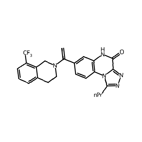 C=C(c1ccc2c(c1)[nH]c(=O)c1nnc(CCC)n12)N1CCc2cccc(C(F)(F)F)c2C1